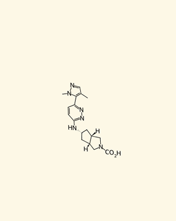 Cc1cnn(C)c1-c1ccc(N[C@@H]2C[C@@H]3CN(C(=O)O)C[C@@H]3C2)nn1